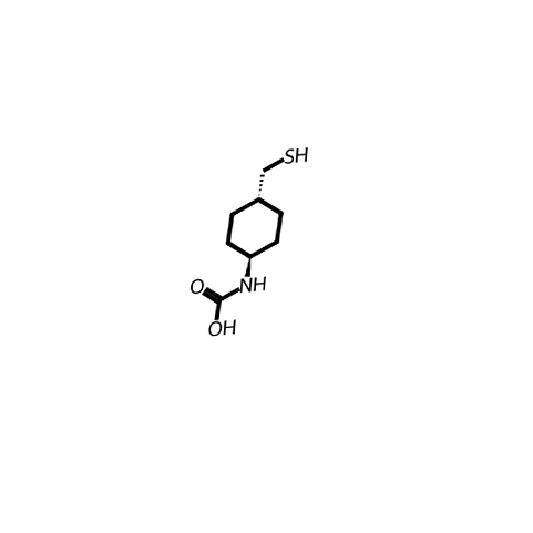 O=C(O)N[C@H]1CC[C@H](CS)CC1